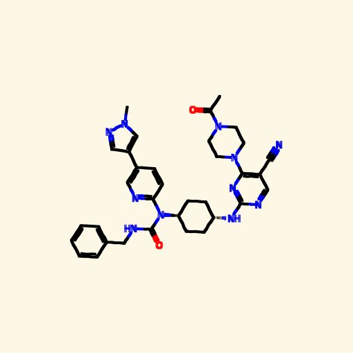 CC(=O)N1CCN(c2nc(N[C@H]3CC[C@H](N(C(=O)NCc4ccccc4)c4ccc(-c5cnn(C)c5)cn4)CC3)ncc2C#N)CC1